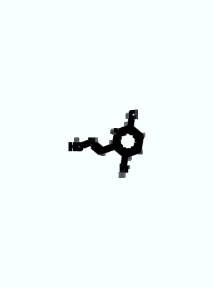 ON=Cc1nc(Cl)ccc1Br